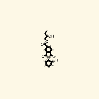 CCC(O)COC(=O)c1ccc2c(c1)C(=O)N(c1ccccc1O)C2=O